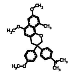 COc1ccc(C2(c3ccc(N(C)C)cc3)COc3c(cc(OC)c4cc(OC)cc(C)c34)C2)cc1